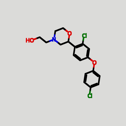 OCCN1CCOC(c2ccc(Oc3ccc(Cl)cc3)cc2Cl)C1